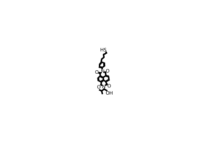 CC(C)C(CO)N1C(=O)c2ccc3c4c(ccc(c24)C1=O)C(=O)N(c1ccc(CCCCS)cc1)C3=O